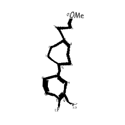 COCCC1CCC(c2ccc(F)c(F)c2)CC1